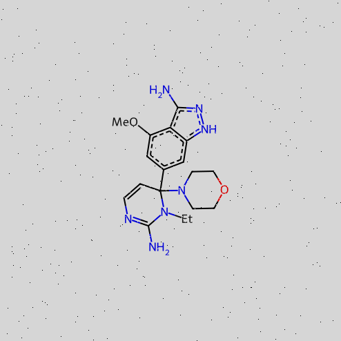 CCN1C(N)=NC=CC1(c1cc(OC)c2c(N)n[nH]c2c1)N1CCOCC1